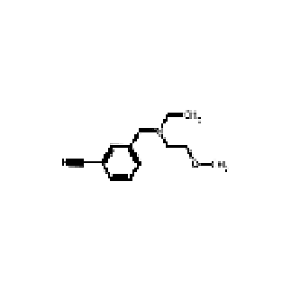 CCN(CCOC)Cc1cccc(C#N)c1